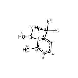 OB(O)c1c(C(F)(F)F)ccnc1O